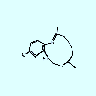 CC(=O)c1ccc2c(c1)NCSC(C)CSC/C(C)=N/2